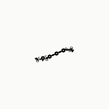 C=CC(=O)SCc1ccc(SC(=O)c2ccc(C#Cc3ccc(C#Cc4ccc(OCCOC(=O)C(=C)C)cc4)cc3)cc2)cc1C